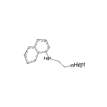 CCCCCCCCCPc1cccc2ccccc12